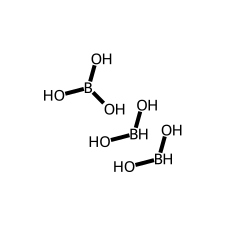 OB(O)O.OBO.OBO